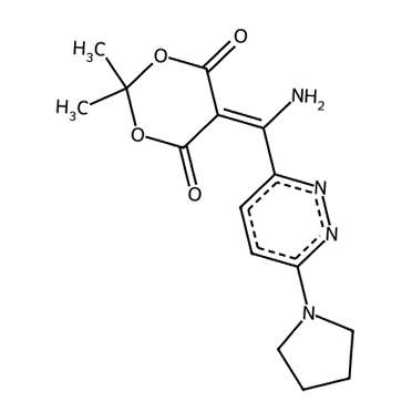 CC1(C)OC(=O)C(=C(N)c2ccc(N3CCCC3)nn2)C(=O)O1